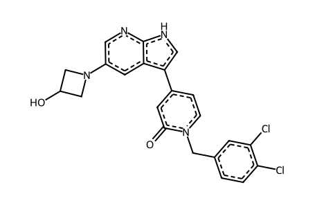 O=c1cc(-c2c[nH]c3ncc(N4CC(O)C4)cc23)ccn1Cc1ccc(Cl)c(Cl)c1